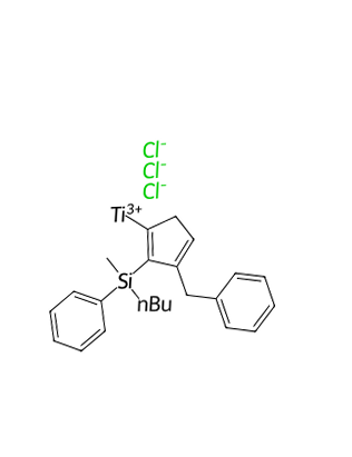 CCCC[Si](C)(C1=[C]([Ti+3])CC=C1Cc1ccccc1)c1ccccc1.[Cl-].[Cl-].[Cl-]